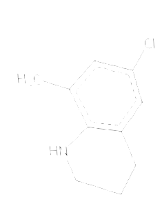 Cc1cc(Cl)cc2c1NCCC2